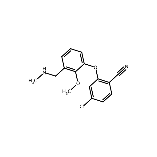 CNCc1cccc(Oc2cc(Cl)ccc2C#N)c1OC